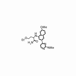 CCOCCC(Nc1cc(-c2ccnc(NC)n2)cc2ccc(OC)cc12)C(N)=O